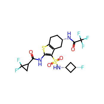 O=C(Nc1sc2c(c1S(=O)(=O)N[C@H]1C[C@@H](F)C1)C[C@@H](NC(=O)C(F)(F)F)CC2)C1CC1(F)F